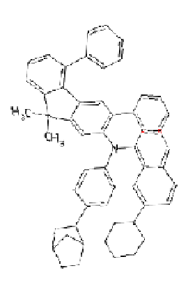 CC1(C)c2cc(N(c3ccc(C4CC5CCC4C5)cc3)c3cccc4ccc(C5CCCCC5)cc34)c(-c3ccccc3)cc2-c2c(-c3ccccc3)cccc21